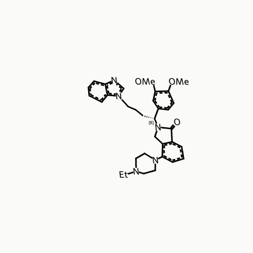 CCN1CCN(c2cccc3c2CN([C@H](CCCn2cnc4ccccc42)c2ccc(OC)c(OC)c2)C3=O)CC1